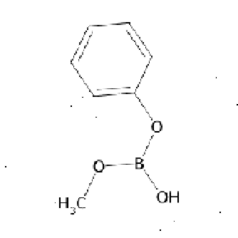 COB(O)Oc1ccccc1